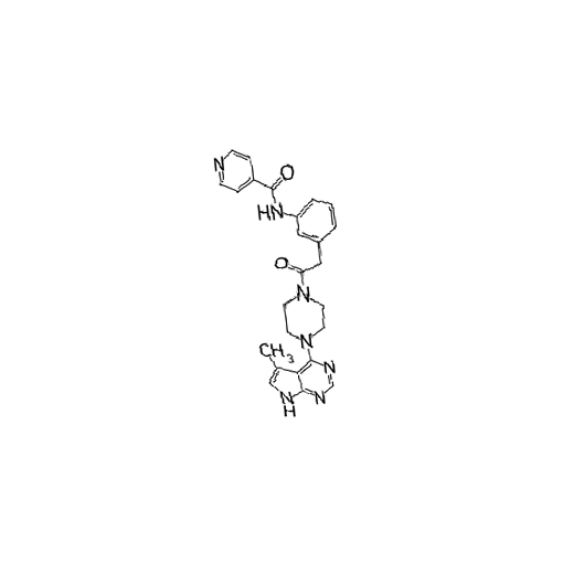 Cc1c[nH]c2ncnc(N3CCN(C(=O)Cc4cccc(NC(=O)c5ccncc5)c4)CC3)c12